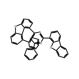 c1ccc(-c2nc(-c3cccc4c3oc3ccccc34)nc(-c3cccc4oc5cccc(-c6ccccc6)c5c34)n2)cc1